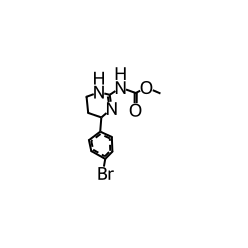 COC(=O)NC1=NC(c2ccc(Br)cc2)CCN1